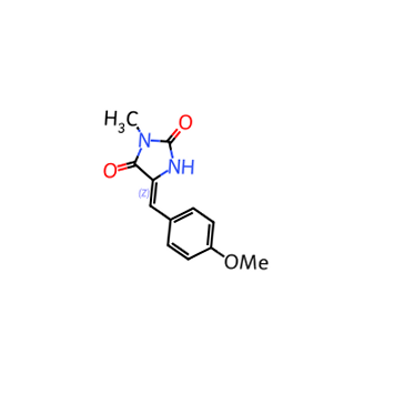 COc1ccc(/C=C2\NC(=O)N(C)C2=O)cc1